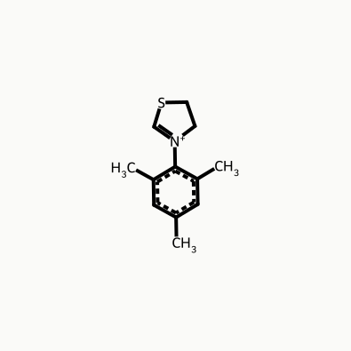 Cc1cc(C)c([N+]2=CSCC2)c(C)c1